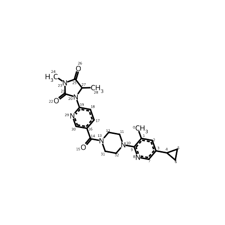 Cc1cc(C2CC2)cnc1N1CCN(C(=O)c2ccc(N3C(=O)N(C)C(=O)C3C)nc2)CC1